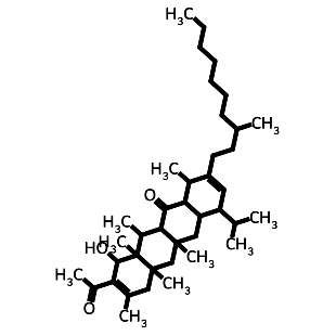 CCCCCCCC(C)CCC1=CC(C(C)C)C2CC3(C)CC4(C)CC(C)=C(C(C)=O)C(O)C4(C)C(C)C3C(=O)C2C1C